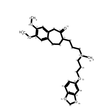 COc1cc2c(cc1OC)CC(=O)C(CCCN(C)CCCOc1ccc3c(c1)OCO3)CC2